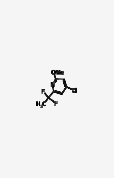 COc1cc(Cl)cc(C(C)(F)F)n1